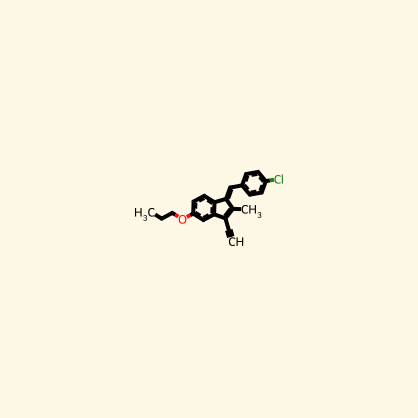 C#CC1=C(C)C(=Cc2ccc(Cl)cc2)c2ccc(OCCC)cc21